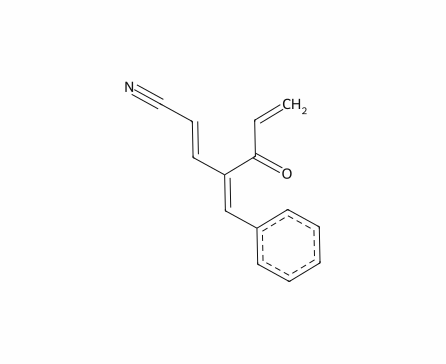 C=CC(=O)C(C=CC#N)=Cc1ccccc1